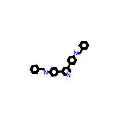 C(=N\c1ccc(-c2cncc(-c3ccc(/N=C/c4ccccc4)cc3)c2)cc1)/c1ccccc1